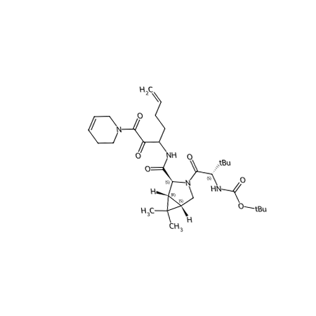 C=CCCC(NC(=O)[C@@H]1[C@@H]2[C@H](CN1C(=O)[C@@H](NC(=O)OC(C)(C)C)C(C)(C)C)C2(C)C)C(=O)C(=O)N1CC=CCC1